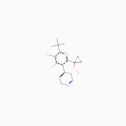 [2H]c1c(C(C)(C)C)nc(C2(OC)CC2)c(C2=CCN=CC2)c1C